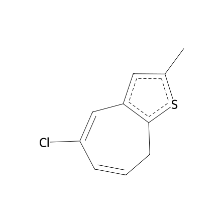 Cc1cc2c(s1)CC=CC(Cl)=C2